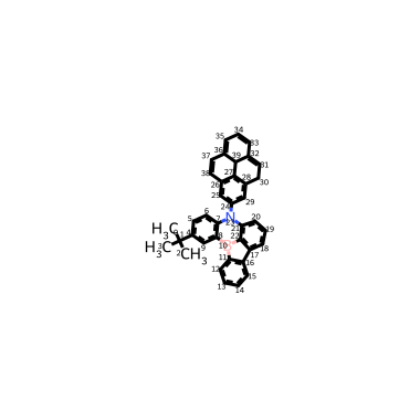 CC(C)(C)c1ccc2c(c1)B1c3ccccc3-c3cccc(c31)N2c1cc2c3c(c1)CC=C1C=CC=C(C=C2)C13